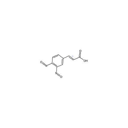 O=Nc1ccc(/C=C/C(=O)O)cc1N=O